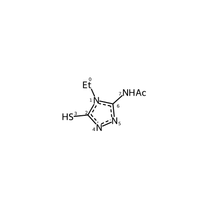 CCn1c(S)nnc1NC(C)=O